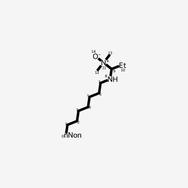 CCCCCCCCCCCCCCCCNC(CC)[N+](C)(C)[O-]